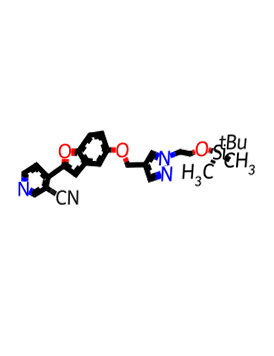 CC(C)(C)[Si](C)(C)OCCn1cc(COc2ccc3oc(-c4ccncc4C#N)cc3c2)cn1